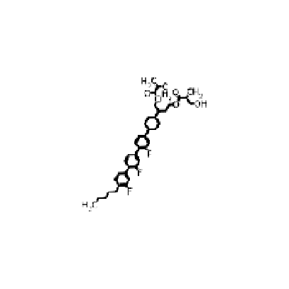 C=C(C)C(=O)OCC(CCOC(=O)C(=C)CO)C1CCC(c2ccc(-c3ccc(-c4ccc(CCCCC)c(F)c4)c(F)c3)c(F)c2)CC1